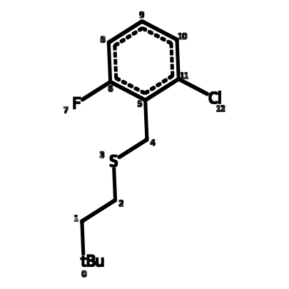 CC(C)(C)CCSCc1c(F)cccc1Cl